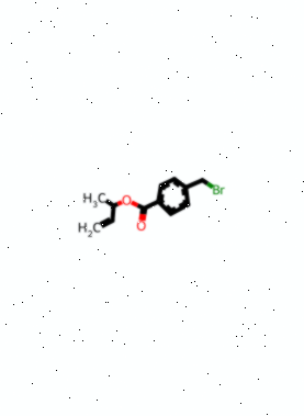 C=CC(C)OC(=O)c1ccc(CBr)cc1